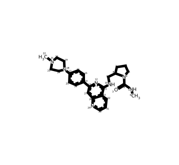 CNC(=O)N1CCCC1CNc1nc(-c2ccc(N3CCN(C)CC3)cc2)cc2ncccc12